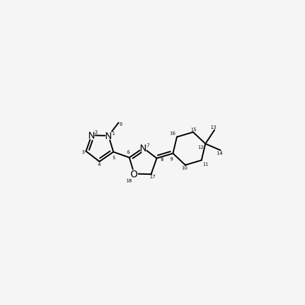 Cn1nccc1C1=NC(=C2CCC(C)(C)CC2)CO1